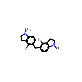 CN1CCc2c1ccc(Cc1ccc3c(c1Br)CCN3C)c2Br